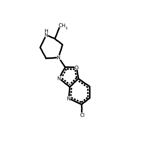 CC1CN(c2nc3nc(Cl)ccc3o2)CCN1